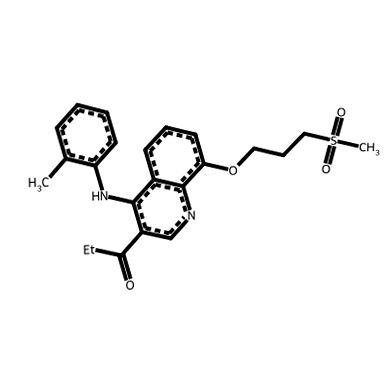 CCC(=O)c1cnc2c(OCCCS(C)(=O)=O)cccc2c1Nc1ccccc1C